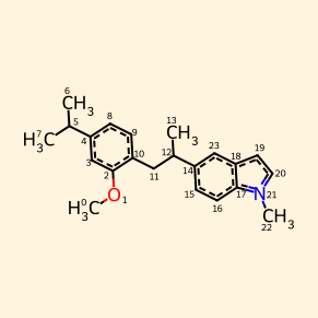 COc1cc(C(C)C)ccc1CC(C)c1ccc2c(ccn2C)c1